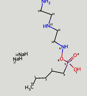 CCCCCP(=O)(O)ONCCNCCN.[NaH].[NaH]